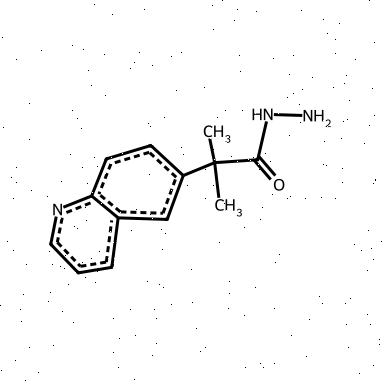 CC(C)(C(=O)NN)c1ccc2ncccc2c1